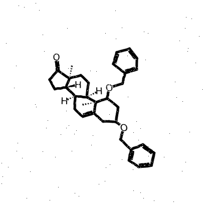 C[C@]12CC[C@@H]3[C@@H](CC=C4CC(OCc5ccccc5)CC(OCc5ccccc5)[C@@]43C)[C@@H]1CCC2=O